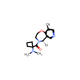 CC[C@H]1c2cncc(C#N)c2OCCN1C(=O)C1(N(C)C)CCC1